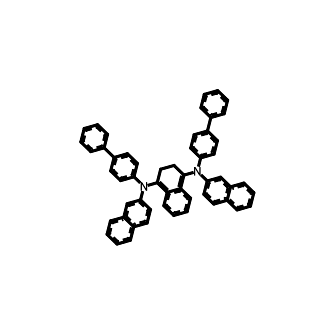 c1ccc(-c2ccc(N(C3=c4ccccc4=C(N(c4ccc(-c5ccccc5)cc4)c4ccc5ccccc5c4)CC3)c3ccc4ccccc4c3)cc2)cc1